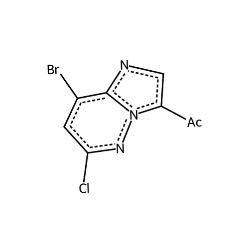 CC(=O)c1cnc2c(Br)cc(Cl)nn12